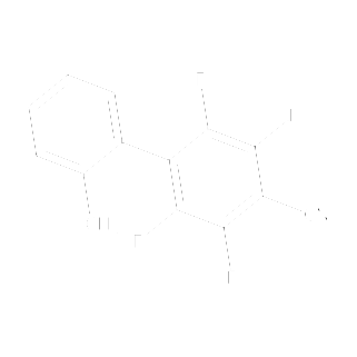 Cc1ccccc1-c1c(F)c(F)c(C#N)c(F)c1F